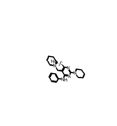 O=C(O)c1nc(N2CCCCC2)nc(Nc2ccccc2)c1CN1CCCCC1